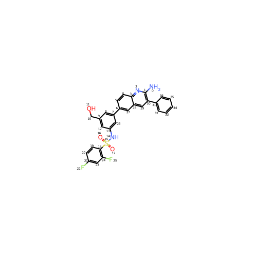 Nc1nc2ccc(-c3cc(CO)cc(NS(=O)(=O)c4ccc(F)cc4F)c3)cc2cc1-c1ccccc1